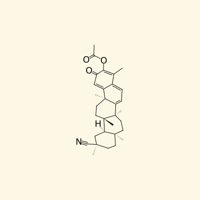 CC(=O)OC1=C(C)C2=CC=C3[C@@](C)(CC[C@@]4(C)[C@@H]5C[C@](C)(C#N)CC[C@]5(C)CC[C@]34C)C2=CC1=O